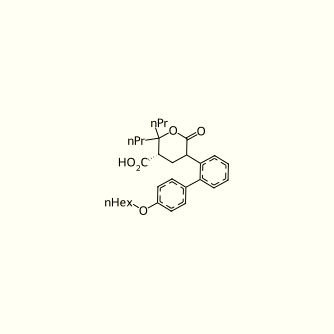 CCCCCCOc1ccc(-c2ccccc2C2C[C@H](C(=O)O)C(CCC)(CCC)OC2=O)cc1